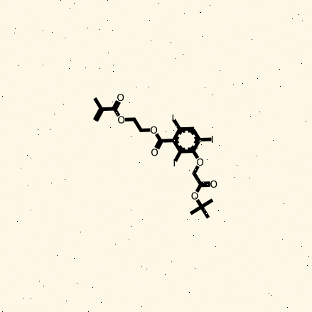 C=C(C)C(=O)OCCOC(=O)c1c(I)cc(I)c(OCC(=O)OC(C)(C)C)c1I